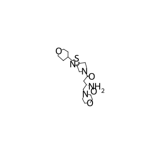 N[C@@H](CC(=O)N1CCc2sc(C3CCOCC3)nc2C1)CN1CCOCC1=O